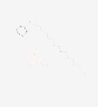 CCCCCCCCCCCCCCCC[N+](C)(C)Cc1ccccc1.CCOP(=O)(O)O.N